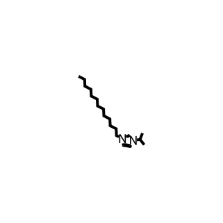 CCCCCCCCCCCCCN1C=CN(C(C)C)C1